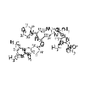 C=[N+]([O-])c1ncc(CN(c2cnc3cc(N4CCOCC4)nc(O[C@H]4CC[C@@H](Nc5nc(C)cc(C)n5)CC4)c3c2)S(C)(=O)=O)n1C